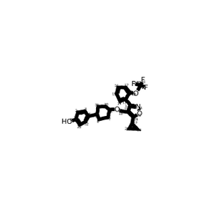 Oc1ccc(C2CCC(OCc3c(-c4ccccc4OC(F)(F)F)noc3C3CC3)CC2)cc1